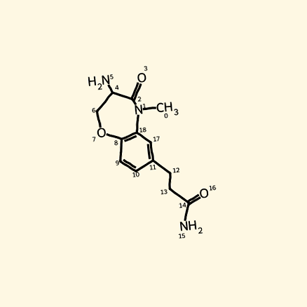 CN1C(=O)C(N)COc2ccc(CCC(N)=O)cc21